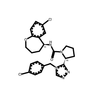 O=C(N[C@H]1CCCOc2ccc(Cl)cc21)N1CCC[C@@H]1c1nncn1Cc1ccc(Cl)cc1